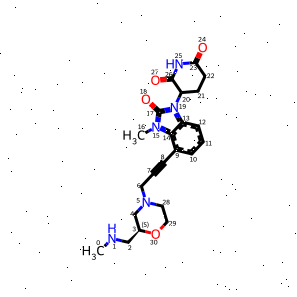 CNC[C@H]1CN(CC#Cc2cccc3c2n(C)c(=O)n3C2CCC(=O)NC2=O)CCO1